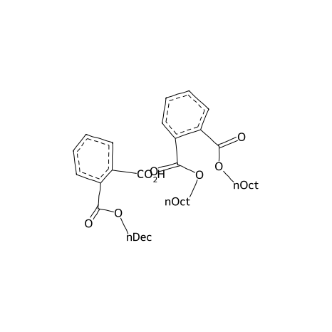 CCCCCCCCCCOC(=O)c1ccccc1C(=O)O.CCCCCCCCOC(=O)c1ccccc1C(=O)OCCCCCCCC